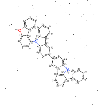 c1ccc2c(c1)oc1cccc(-n3c4ccccc4c4cc(-c5ccc6c(c5)c5cccc7c8ccccc8n6c75)ccc43)c12